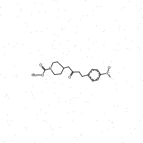 C[S+]([O-])c1ccc(CCC(=O)CC2CCN(C(=O)OC(C)(C)C)CC2)cc1